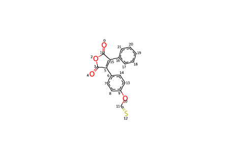 O=C1OC(=O)C(c2ccc(OC=S)cc2)=C1c1ccccc1